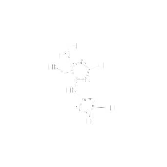 CNc1nc(Cl)nc(Nc2cc(C)[nH]n2)c1C=N